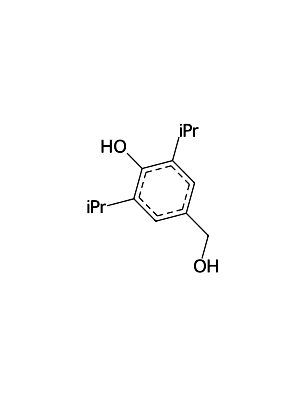 CC(C)c1cc(CO)cc(C(C)C)c1O